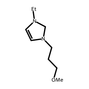 CCN1C=CN(CCCOC)C1